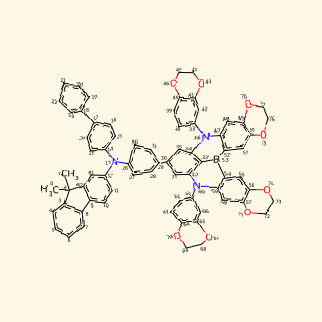 CC1(C)c2ccccc2-c2ccc(N(c3ccc(-c4ccccc4)cc3)c3ccc(-c4cc5c6c(c4)N(c4ccc7c(c4)OCCO7)c4cc7c(cc4B6c4cc6c(cc4N5c4ccc5c(c4)OCCO5)OCCO6)OCCO7)cc3)cc21